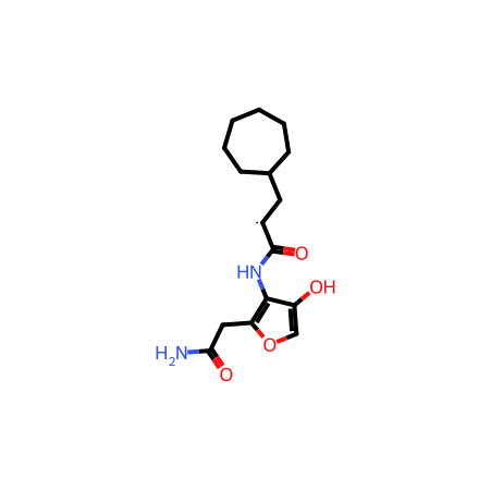 NC(=O)Cc1occ(O)c1NC(=O)[CH]CC1CCCCCC1